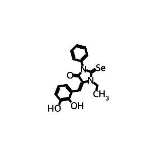 CCN1C(=[Se])N(c2ccccc2)C(=O)C1=Cc1cccc(O)c1O